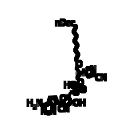 CCCCCCCCCCCCCCCCCCOC[C@H](COP(=O)(O)OC[C@H]1O[C@@](C#N)(c2ccc3c(N)ncnn23)C[C@@H]1O)n1cnc(C#N)c1